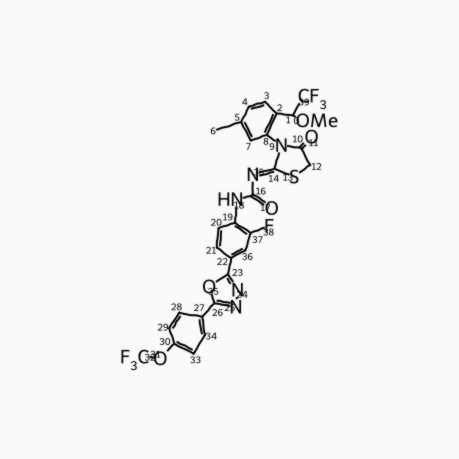 COC(c1ccc(C)cc1N1C(=O)CSC1=NC(=O)Nc1ccc(-c2nnc(-c3ccc(OC(F)(F)F)cc3)o2)cc1F)C(F)(F)F